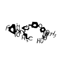 CCCCN(C(=O)Nc1ccc(F)cc1F)C1CCN(Cc2ccc(Oc3ccc(N(CC(=O)O)S(C)(=O)=O)cc3)cc2)CC1